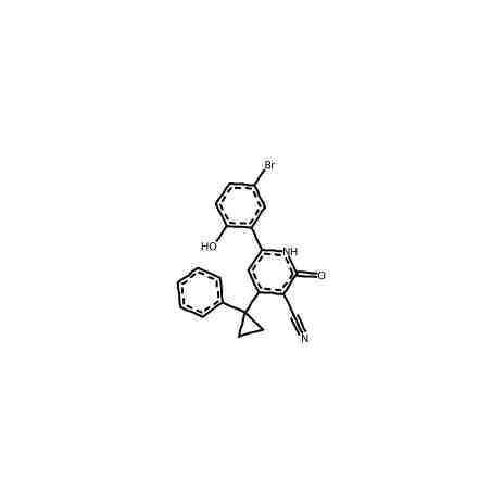 N#Cc1c(C2(c3ccccc3)CC2)cc(-c2cc(Br)ccc2O)[nH]c1=O